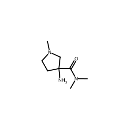 CN1CCC(N)(C(=O)N(C)C)C1